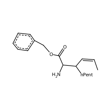 C/C=C\C(CCCCC)C(N)C(=O)OCc1ccccc1